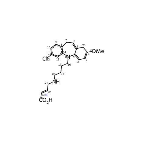 COC1=CC=C2C(=CCc3ccc(Cl)cc3N2CCCCNC/C=C/C(=O)O)C1